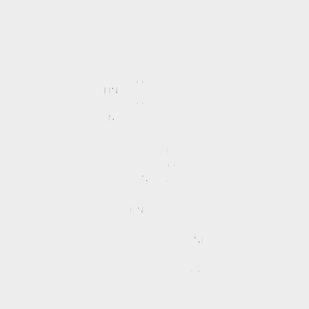 O=C(Nc1ccc(-n2c(=O)[nH]c3cc(NCC(F)(F)F)ccc3c2=O)c(Cl)c1)NS(=O)(=O)c1ccc(Cl)s1